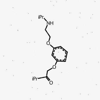 CC(C)NCCOc1cccc(OCC(=O)C(C)C)c1